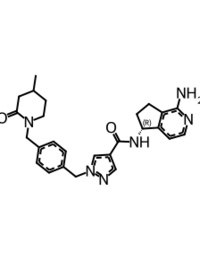 CC1CCN(Cc2ccc(Cn3cc(C(=O)N[C@@H]4CCc5c4ccnc5N)cn3)cc2)C(=O)C1